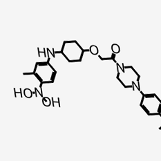 Cc1cc(NC2CCC(OCC(=O)N3CCN(c4ccc(C(C)(C)C)cc4)CC3)CC2)ccc1N(O)O